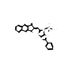 Cn1c(-c2ccccc2)nc2c1nc(C=C1C(=O)c3cc4ccccc4cc3C1=O)n2C[Si](C)(C)C